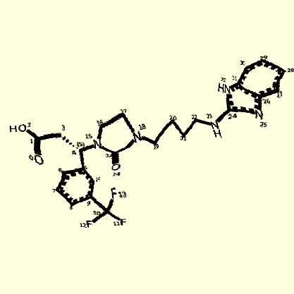 O=C(O)C[C@@H](c1cccc(C(F)(F)F)c1)N1CCN(CCCCNc2nc3ccccc3[nH]2)C1=O